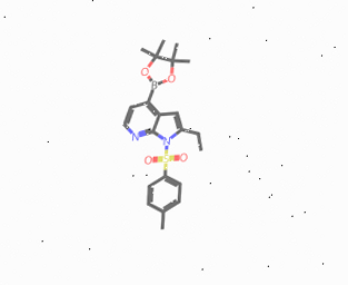 CCc1cc2c(B3OC(C)(C)C(C)(C)O3)ccnc2n1S(=O)(=O)c1ccc(C)cc1